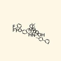 CC(C)(C)OC(=O)N1Cc2cc(Oc3ccccc3C(F)(F)F)ccc2CC1C(=O)N[C@@H](Cc1ccc(-c2ccccc2)cc1)C(=O)O